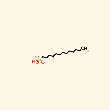 CCCCCCCCCC(F)CCCS(=O)(=O)O